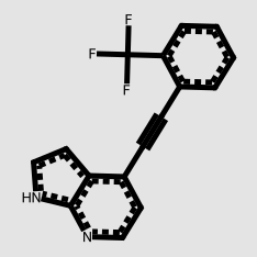 FC(F)(F)c1ccccc1C#Cc1ccnc2[nH]ccc12